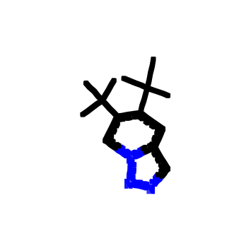 CC(C)(C)c1cc2cnnn2cc1C(C)(C)C